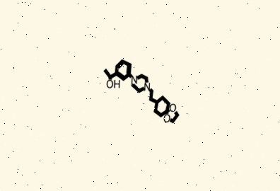 CC(O)c1cccc(N2CCN(CCC3CCC4(CC3)OCCO4)CC2)c1